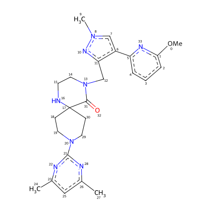 COc1cccc(-c2cn(C)nc2CN2CCNC3(CCN(c4nc(C)cc(C)n4)CC3)C2=O)n1